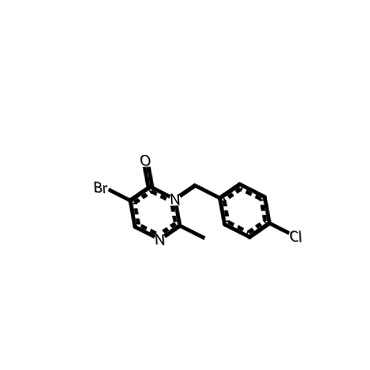 Cc1ncc(Br)c(=O)n1Cc1ccc(Cl)cc1